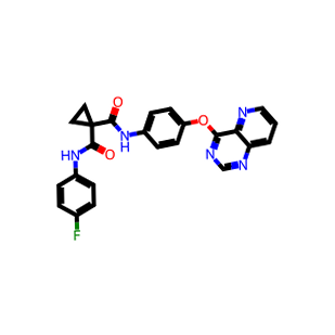 O=C(Nc1ccc(F)cc1)C1(C(=O)Nc2ccc(Oc3ncnc4cccnc34)cc2)CC1